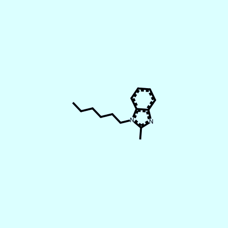 CCCCCCn1c(C)nc2ccccc21